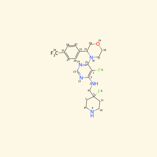 Fc1c(NCC2(F)CCNCC2)ncnc1N1CCOCC1c1ccc(C(F)(F)F)cc1